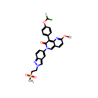 CCOc1ccc2cn(-c3ccc4nn(CCS(C)(=O)=O)cc4c3)c(=O)c(-c3ccc(OC(F)F)cc3)c2n1